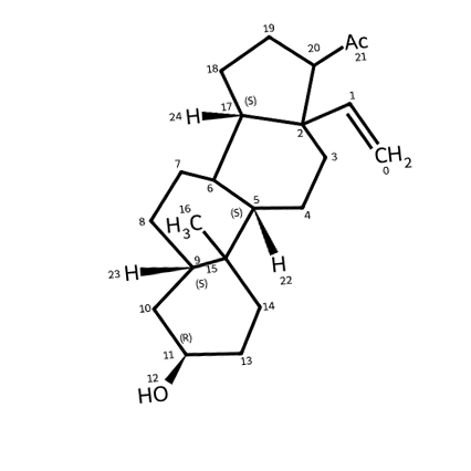 C=CC12CC[C@H]3C(CC[C@H]4C[C@H](O)CCC43C)[C@@H]1CCC2C(C)=O